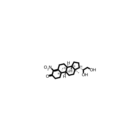 C[C@]12CC[C@H]3[C@@H](CCC4=C([N+](=O)[O-])C(=O)CC[C@@]43C)[C@@H]1CC[C@@H]2C(O)CO